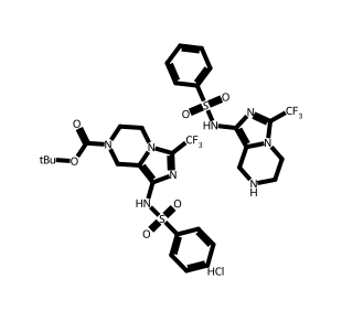 CC(C)(C)OC(=O)N1CCn2c(C(F)(F)F)nc(NS(=O)(=O)c3ccccc3)c2C1.Cl.O=S(=O)(Nc1nc(C(F)(F)F)n2c1CNCC2)c1ccccc1